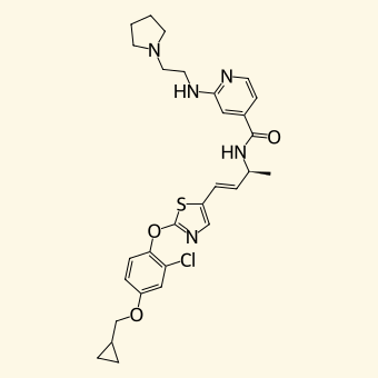 C[C@@H](/C=C/c1cnc(Oc2ccc(OCC3CC3)cc2Cl)s1)NC(=O)c1ccnc(NCCN2CCCC2)c1